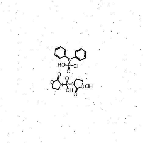 Cl.O=C1OCCN1P(=O)(O)N1CCOC1=O.O=P(O)(Cl)N(c1ccccc1)c1ccccc1